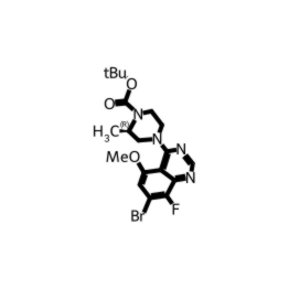 COc1cc(Br)c(F)c2ncnc(N3CCN(C(=O)OC(C)(C)C)[C@H](C)C3)c12